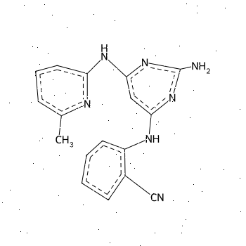 Cc1cccc(Nc2cc(Nc3ccccc3C#N)nc(N)n2)n1